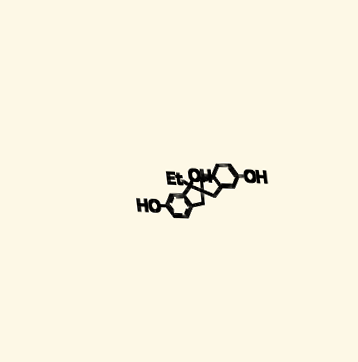 CCC1(O)c2cc(O)ccc2CC12C=C1CC=C(O)C=C1C2